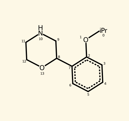 CC(C)Oc1ccccc1C1CNCCO1